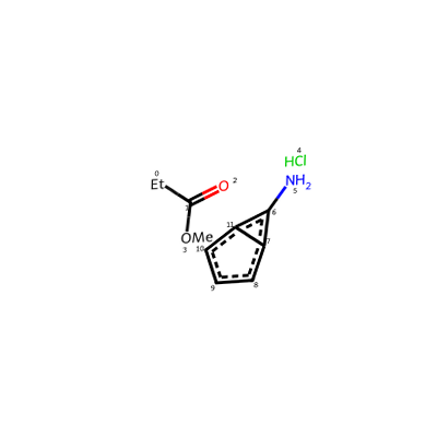 CCC(=O)OC.Cl.Nc1c2cccc1-2